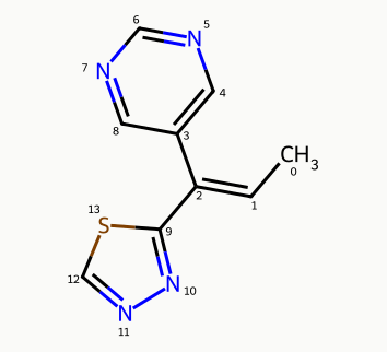 C/C=C(\c1cncnc1)c1nncs1